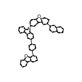 c1ccc2cc(-c3ccc4oc5ccc(-n6c7ccccc7c7cc(-c8ccc(-c9cccc%10c9oc9ccccc9%10)cc8)ccc76)cc5c4c3)ccc2c1